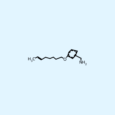 CC=CCCCCCOc1cccc(CN)c1